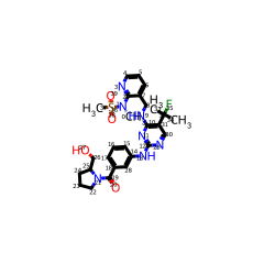 CN(c1ncccc1CNc1nc(Nc2cccc(C(=O)N3CCCC3CO)c2)ncc1C(C)(C)F)S(C)(=O)=O